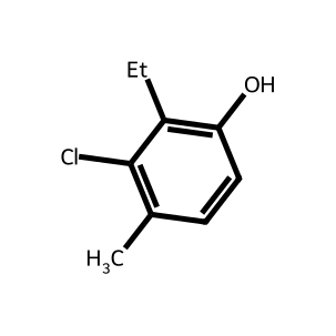 CCc1c(O)ccc(C)c1Cl